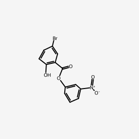 O=C(Oc1cccc([N+](=O)[O-])c1)c1cc(Br)ccc1O